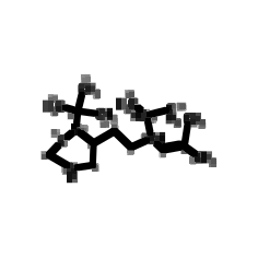 CC(C)=C[SiH](CCC1CNCCN1C(C)(C)C)[SiH](C)C